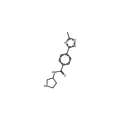 Cc1nc(-c2ccc(C(=O)NC3CCNC3)cc2)no1